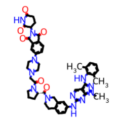 Cc1cccc(C)c1Nc1nn(C)c2nc(Nc3ccc4c(c3)CN(C(=O)[C@@H]3CCCN3C(=O)CN3CCN(c5ccc6c(c5)C(=O)N(C5CCC(=O)NC5=O)C6=O)CC3)CC4)ncc12